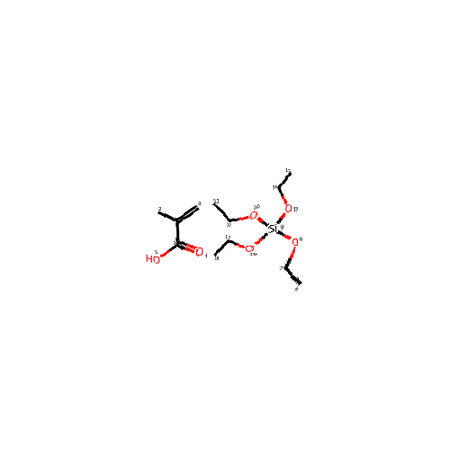 C=C(C)C(=O)O.CCO[Si](OCC)(OCC)OCC